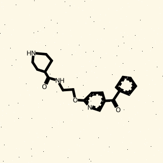 O=C(c1ccccc1)c1ccc(OCCNC(=O)C2CCNCC2)nc1